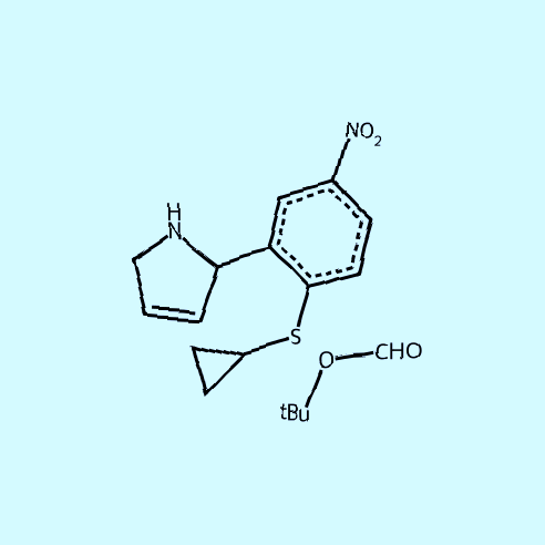 CC(C)(C)OC=O.O=[N+]([O-])c1ccc(SC2CC2)c(C2C=CCN2)c1